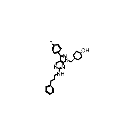 O[C@H]1CC[C@@H](Cn2nc(-c3ccc(F)cc3)c3cnc(NCCCc4ccccc4)nc32)CC1